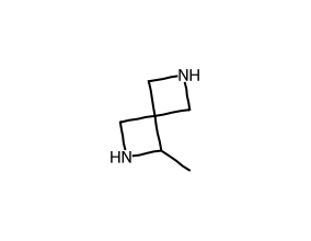 CC1NCC12CNC2